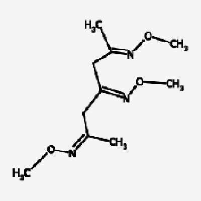 CON=C(C)CC(CC(C)=NOC)=NOC